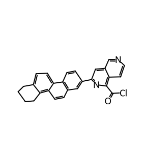 O=C(Cl)c1nc(-c2ccc3c(ccc4c5c(ccc43)CCCC5)c2)cc2cnccc12